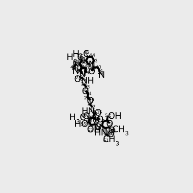 CO[C@@H]1OC(CO)[C@@H](O)[C@H](O[C@@H]2OC(C(=O)NCCOCCOCCNC(=O)n3ccc4c(N(C)[C@H]5CN(C(=O)CC#N)CC[C@H]5C)ncnc43)[C@@H](OC)[C@H](O)C2O)C1NC(C)=O